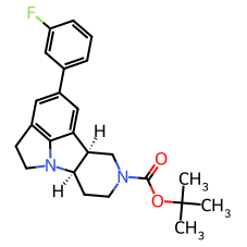 CC(C)(C)OC(=O)N1CC[C@@H]2[C@H](C1)c1cc(-c3cccc(F)c3)cc3c1N2CC3